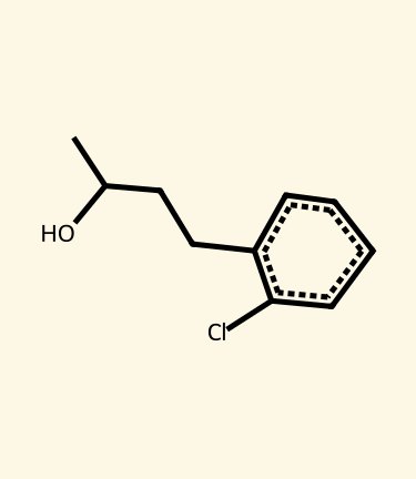 CC(O)CCc1ccccc1Cl